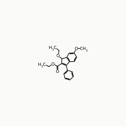 CCOC(=O)C1=C(c2ccccc2)c2ccc(OC)cc2C1OCC